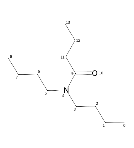 CCCCN(CCCC)C(=O)CCC